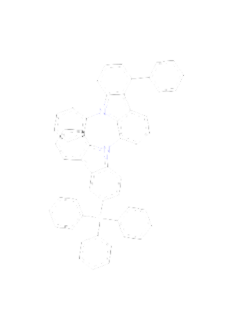 c1ccc(-c2cccc3c2c2cccc(-n4c5ccccc5c5cc([Si](c6ccccc6)(c6ccccc6)c6ccccc6)ccc54)c2n3-c2ccccc2)cc1